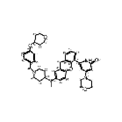 O=c1cc(N2CCOCC2)cc(-c2cccc3c2Oc2ccc(NC4CCN(Cc5ccc(OC6CCOCC6)nc5)CC4)cc2C3)[nH]1